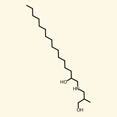 CCCCCCCCCCCCCCC(O)CNCC(C)CO